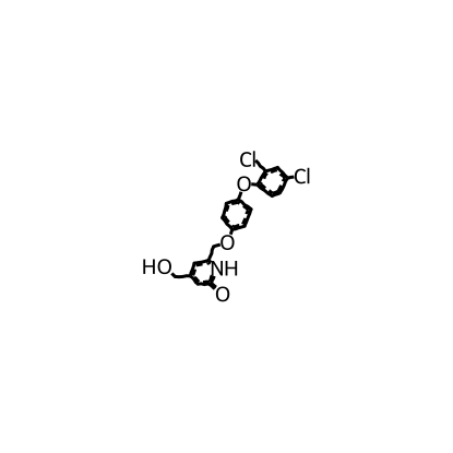 O=c1cc(CO)cc(COc2ccc(Oc3ccc(Cl)cc3Cl)cc2)[nH]1